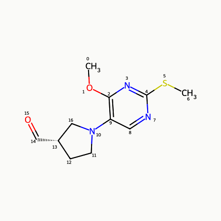 COc1nc(SC)ncc1N1CC[C@H](C=O)C1